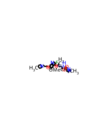 C=C(F)/C(=C\C=C(/C)NS(=O)(=O)C1=NN(C)CC1)Oc1ccnc2cc(OCCCN3CCC(C)CC3)c(OC)cc12